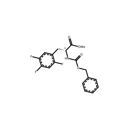 COC(=O)[C@@H](Cc1cc(F)c(F)cc1F)NC(=O)OCc1ccccc1